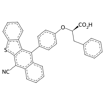 N#Cc1c2ccccc2c(-c2ccc(O[C@H](Cc3ccccc3)C(=O)O)cc2)c2c1sc1ccccc12